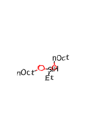 CCCCCCCCO[SiH](CC)OCCCCCCCC